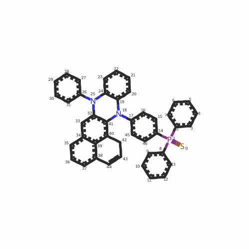 S=P(c1ccccc1)(c1ccccc1)c1ccc(N2c3ccccc3N(c3ccccc3)c3cc4cccc5c4c(c32)CC=C5)cc1